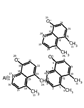 Cc1ccnc2c([O-])ccc(C)c12.Cc1ccnc2c([O-])ccc(C)c12.Cc1ccnc2c([O-])ccc(C)c12.[Al+3]